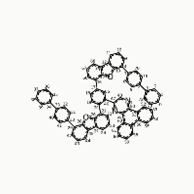 c1ccc(-c2ccc(-c3cccc4c3oc3c(-c5ccc(-c6cccc7c6oc6c(-c8ccc(-c9ccccc9)cc8)cccc67)c(-c6cnc7c8ccccc8c8ccccc8c7n6)c5)cccc34)cc2)cc1